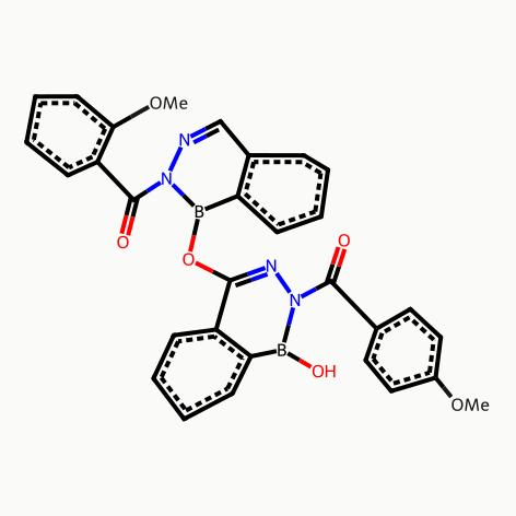 COc1ccc(C(=O)N2N=C(OB3c4ccccc4C=NN3C(=O)c3ccccc3OC)c3ccccc3B2O)cc1